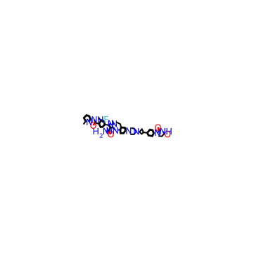 Cc1cccc(NC(=O)c2ccc(-c3nn4c(c3C(N)=O)Nc3ccc(N5CCN(C6CC(c7ccc(N8CCC(=O)NC8=O)cc7)C6)CC5)cc3CC4)c(F)c2C)n1